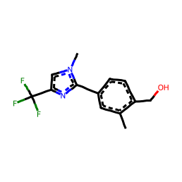 Cc1cc(-c2nc(C(F)(F)F)cn2C)ccc1CO